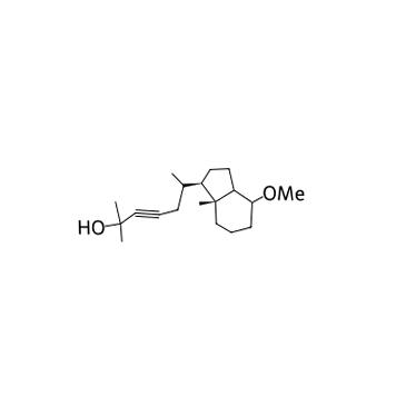 COC1CCC[C@@]2(C)C1CC[C@@H]2C(C)CC#CC(C)(C)O